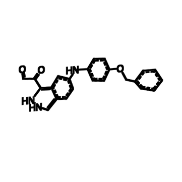 O=CC(=O)C1=c2cc(Nc3ccc(OCc4ccccc4)cc3)ccc2=CNN1